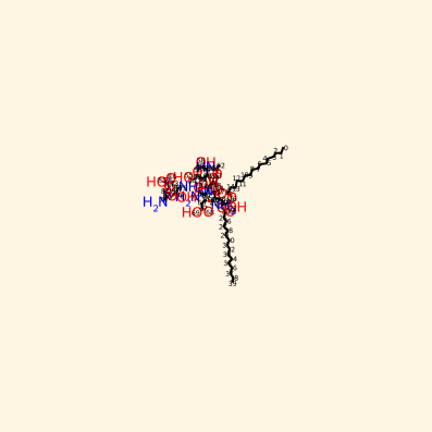 CCCCCCCCCCCCCCCC(=O)OC([C@H](CO)OC(=O)CCCCCCCCCCCCCCC)[C@@](C)(N)C(=O)N(CC(C)O[C@H]1[C@H](O)[C@@H](CO)O[C@H](O)[C@@H]1NC(C)=O)[C@H](CCC(=O)O)C(N)=O.C[C@H](N)C(=O)O.NCCO[PH](=O)O